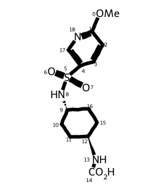 COc1ccc(S(=O)(=O)N[C@H]2CC[C@H](NC(=O)O)CC2)cn1